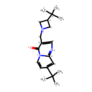 CC(C)(C)c1ccn2c(=O)c(CN3CC(C(C)(C)C)C3)cnc2c1